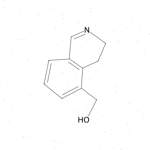 OCc1cccc2c1CCN=C2